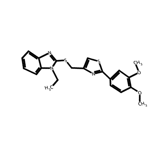 CCn1c(SCc2csc(-c3ccc(OC)c(OC)c3)n2)nc2ccccc21